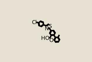 Cc1ccccc1-c1ccc(-c2nc(-c3ccc(Cl)cc3)cs2)cc1C(=O)O